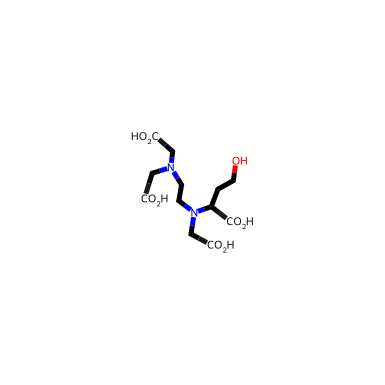 O=C(O)CN(CCN(CC(=O)O)C(CCO)C(=O)O)CC(=O)O